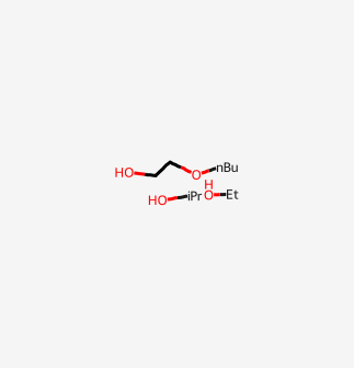 CC(C)O.CCCCOCCO.CCO